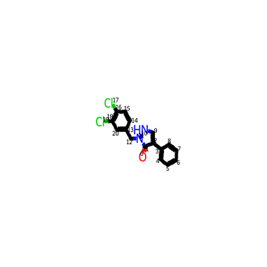 O=c1c(-c2ccccc2)c[nH]n1Cc1ccc(Cl)c(Cl)c1